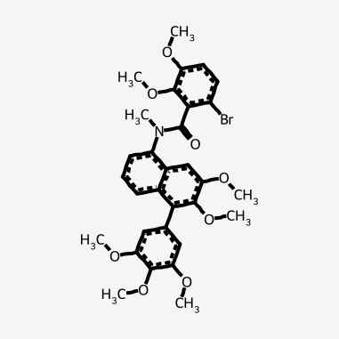 COc1cc(-c2c(OC)c(OC)cc3c(N(C)C(=O)c4c(Br)ccc(OC)c4OC)cccc23)cc(OC)c1OC